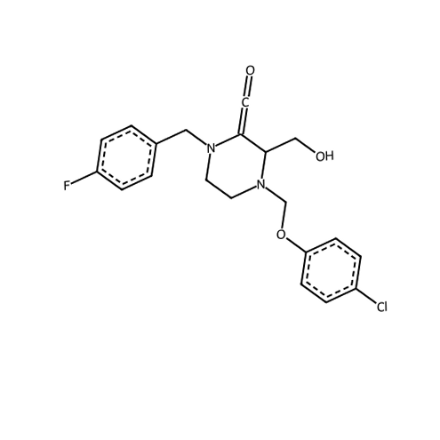 O=C=C1C(CO)N(COc2ccc(Cl)cc2)CCN1Cc1ccc(F)cc1